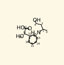 CC(N)CCO.O=C(O)C(O)c1ccccc1